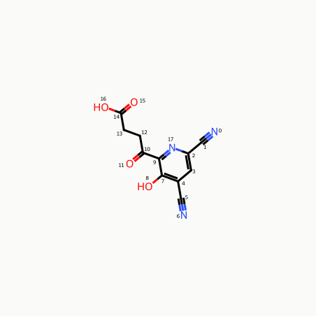 N#Cc1cc(C#N)c(O)c(C(=O)CCC(=O)O)n1